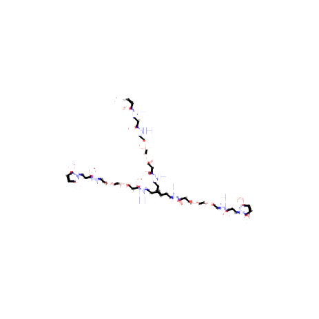 CC(=O)/C=C\C(=O)NCCC(=O)NCCOCCOCCC(=O)NCC/C(=C\CCNC(=O)CCOCCOCCNC(=O)CCN1C(=O)C=CC1=O)CCNC(=O)CCOCCOCCNC(=O)CCN1C(=O)C=CC1=O